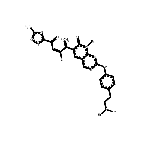 C=C(/C=C(/Cl)C(=C)c1cc2cnc(Nc3ccc(CCN(CC)CC)cc3)nc2n(CC)c1=O)c1noc(C)n1